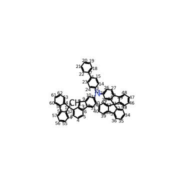 CC1(c2cccc3c2Cc2cc(N(c4ccc(-c5ccccc5)cc4)c4ccc5c(c4)C4(c6ccccc6-c6ccccc64)c4ccccc4-5)ccc2-3)c2ccccc2-c2ccccc21